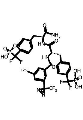 NC(=O)[C@H](Cc1ccc(C(F)(F)P(=O)(O)O)cc1)NC(=O)[C@H](Cc1ccc(C(F)(F)P(=O)(O)O)cc1)NC(=O)c1cc([125I])cc(C2(C(F)(F)F)N=N2)c1